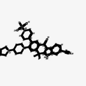 CC1(C)c2cc(N3CCC(N4CCCC4)CC3)c(C3=CCN(S(C)(=O)=O)CC3)cc2C(=O)c2c1[nH]c1cc(C#N)ccc21